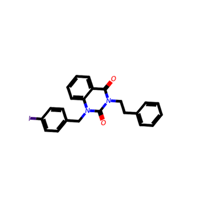 O=c1c2ccccc2n(Cc2ccc(I)cc2)c(=O)n1CCc1ccccc1